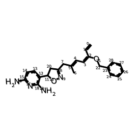 C=C/C(=C\C=C(/C)CC1=NOC(c2ccc(N)nc2N)C1)OCc1ccccc1